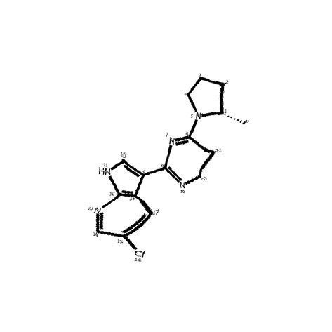 C[C@H]1CCCN1C1=NC(c2c[nH]c3ncc(Cl)cc23)=NCC1